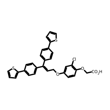 O=C(O)COc1ccc(OCC=C(c2ccc(-c3cccs3)cc2)c2ccc(-c3cccs3)cc2)cc1Cl